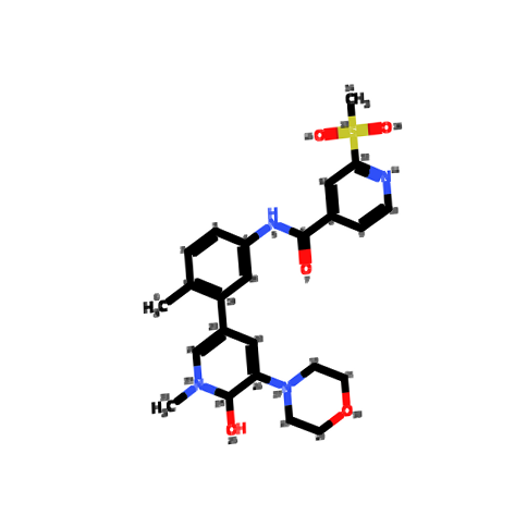 Cc1ccc(NC(=O)c2ccnc(S(C)(=O)=O)c2)cc1C1=CN(C)C(O)C(N2CCOCC2)=C1